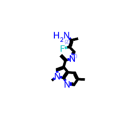 C=C(/N=C\C(F)=C(/C)N)c1cn(C)c2ncc(C)cc12